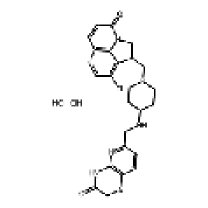 Cl.Cl.O=C1CSc2ccc(CNC3CCN(CC4Cn5c(=O)ccc6ncc(Cl)c4c65)CC3)nc2N1